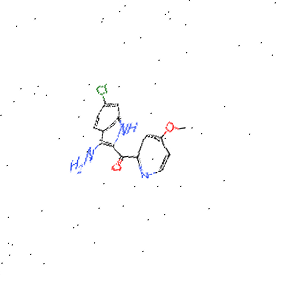 COc1ccnc(C(=O)c2[nH]c3cc(Cl)ccc3c2N)c1